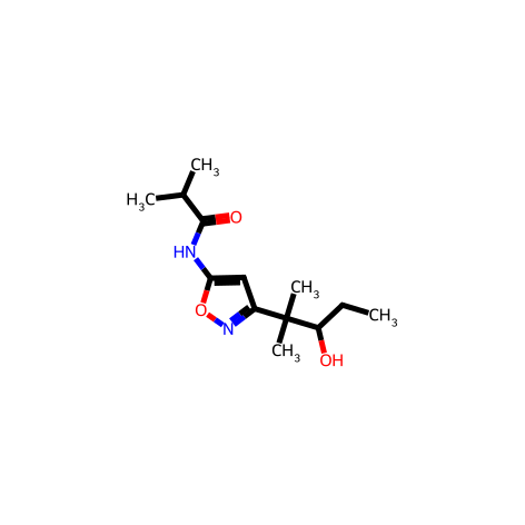 CCC(O)C(C)(C)c1cc(NC(=O)C(C)C)on1